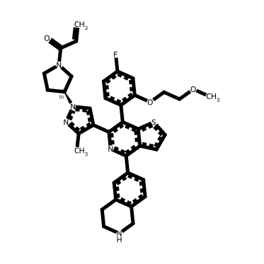 C=CC(=O)N1CC[C@H](n2cc(-c3nc(-c4ccc5c(c4)CCNC5)c4ccsc4c3-c3ccc(F)cc3OCCOC)c(C)n2)C1